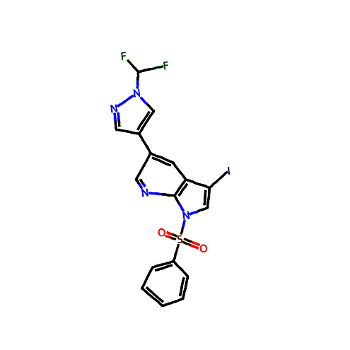 O=S(=O)(c1ccccc1)n1cc(I)c2cc(-c3cnn(C(F)F)c3)cnc21